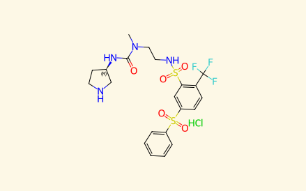 CN(CCNS(=O)(=O)c1cc(S(=O)(=O)c2ccccc2)ccc1C(F)(F)F)C(=O)N[C@@H]1CCNC1.Cl